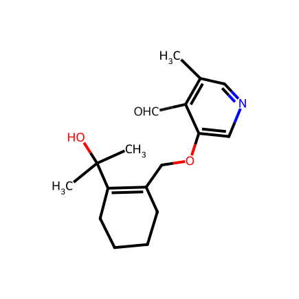 Cc1cncc(OCC2=C(C(C)(C)O)CCCC2)c1C=O